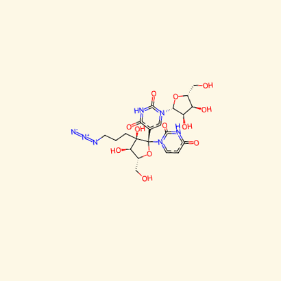 [N-]=[N+]=NCCC[C@@]1(O)[C@H](O)[C@@H](CO)O[C@@]1(c1cn([C@@H]2O[C@H](CO)[C@@H](O)[C@H]2O)c(=O)[nH]c1=O)n1ccc(=O)[nH]c1=O